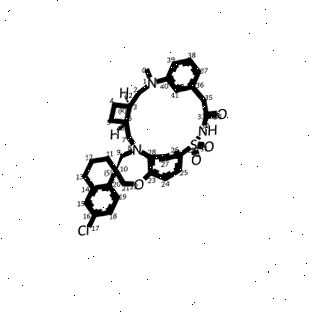 CN1C[C@@H]2CC[C@H]2CN2C[C@@]3(CCCc4cc(Cl)ccc43)COc3ccc(cc32)S(=O)(=O)NC(=O)Cc2cccc1c2